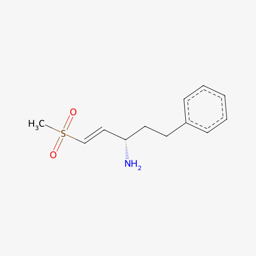 CS(=O)(=O)/C=C/[C@@H](N)CCc1ccccc1